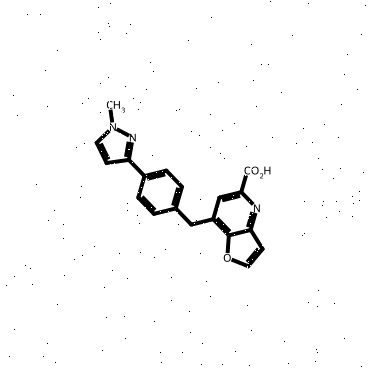 Cn1ccc(-c2ccc(Cc3cc(C(=O)O)nc4ccoc34)cc2)n1